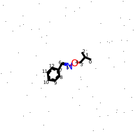 CC(C)CON=Cc1ccccc1